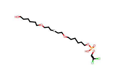 O=P(O)(OC=C(Cl)Cl)OCCCCCCOCCCCCCOCCCCCCO